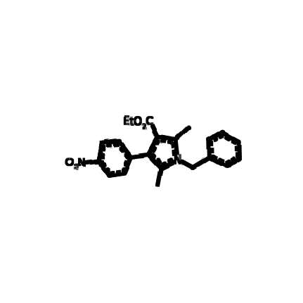 CCOC(=O)c1c(-c2ccc([N+](=O)[O-])cc2)c(C)n(Cc2ccccc2)c1C